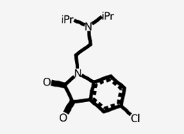 CC(C)N(CCN1C(=O)C(=O)c2cc(Cl)ccc21)C(C)C